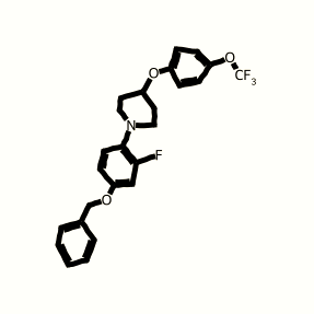 Fc1cc(OCc2ccccc2)ccc1N1CCC(Oc2ccc(OC(F)(F)F)cc2)CC1